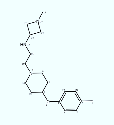 Cc1ccc(OC2CCN(CCNC3CN(C)C3)CC2)cc1